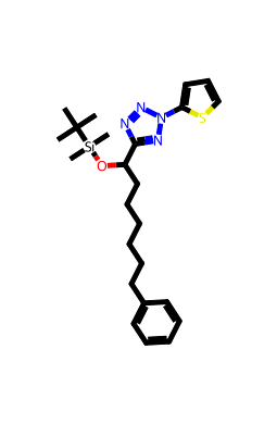 CC(C)(C)[Si](C)(C)OC(CCCCCCc1ccccc1)c1nnn(-c2cccs2)n1